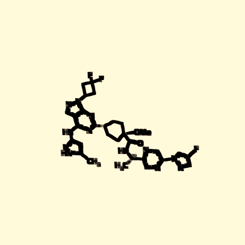 CO[C@]1(C(=O)N[C@@H](C)c2cnc(-n3cc(F)cn3)cn2)CC[C@@H](c2nc(Nc3cc(C)[nH]n3)c3cnn(C4CC(F)(F)C4)c3n2)CC1